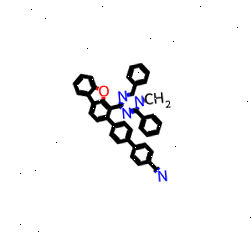 C=N/C(=N\C(=N/Cc1ccccc1)c1c(-c2ccc(-c3ccc(C#N)cc3)cc2)ccc2c1oc1ccccc12)c1ccccc1